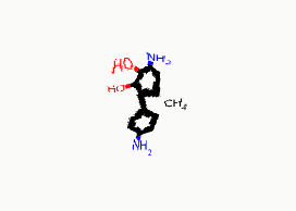 C.Nc1ccc(-c2ccc(N)c(O)c2O)cc1